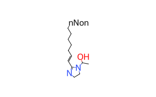 CCCCCCCCCCCCCCC=CC1=NCCN1C(C)O